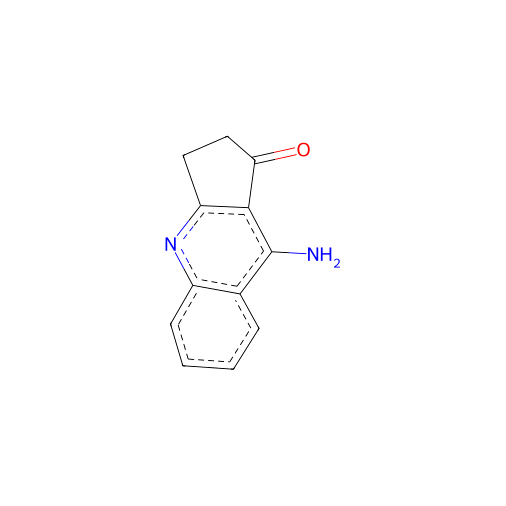 Nc1c2c(nc3ccccc13)CCC2=O